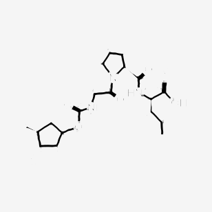 CCC[C@@H](NC(=O)[C@@H]1CCCN1C(=O)CNC(=O)OC1C[C@H](C)[C@@H](C)C1)C(=O)O